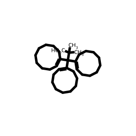 CC(C)(C(=O)O)C(/C1=C/CCCCCCCC1)(/C1=C/CCCCCCCC1)/C1=C/CCCCCCCC1